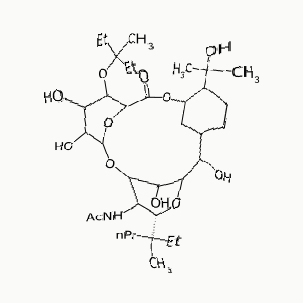 CCCC(C)(CC)[C@H]1OC2C(O)C3CCC(C(C)(C)O)C(C3)OC(=O)C3OC(OC(C2O)C1NC(C)=O)C(O)C(O)C3OC(C)(CC)CC